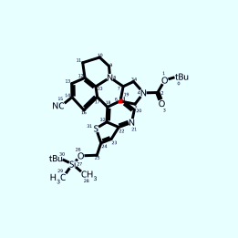 CC(C)(C)OC(=O)N1CCC(N2CCCc3cc(C#N)cc(-c4ncnc5cc(CO[Si](C)(C)C(C)(C)C)sc45)c32)C1